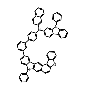 c1ccc(-n2c3ccccc3c3ccc(N(c4ccc(-c5cccc(-c6ccc7c(c6)c6cc8c(ccc9oc%10ccccc%10c98)cc6n7-c6ccccc6)c5)cc4)c4ccc5ccccc5c4)cc32)cc1